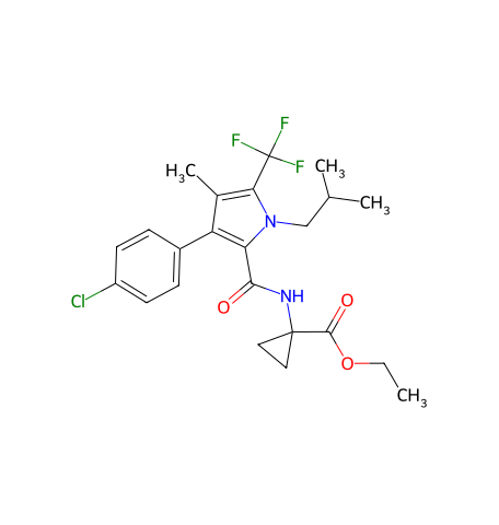 CCOC(=O)C1(NC(=O)c2c(-c3ccc(Cl)cc3)c(C)c(C(F)(F)F)n2CC(C)C)CC1